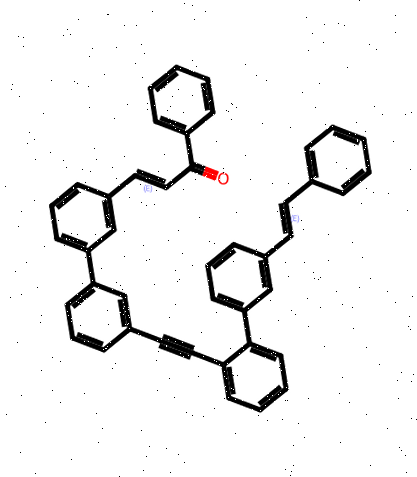 O=C(/C=C/c1cccc(-c2cccc(C#Cc3ccccc3-c3cccc(/C=C/c4ccccc4)c3)c2)c1)c1ccccc1